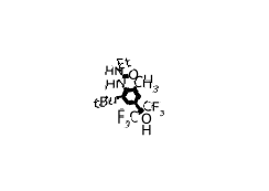 CCNC(=O)Nc1c(C)cc(C(O)(C(F)(F)F)C(F)(F)F)cc1C(C)(C)C